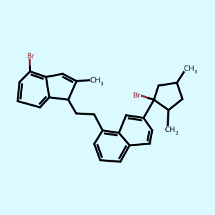 CC1=Cc2c(Br)cccc2C1CCc1cccc2ccc(C3(Br)CC(C)CC3C)cc12